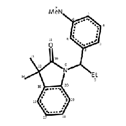 CCC(c1cccc(NC)c1)N1C(=O)C(C)(C)c2ccccc21